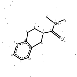 C[SH](C)C(=O)N1CCc2ncccc2C1